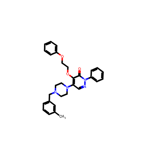 Cc1cccc(CN2CCN(c3cnn(-c4ccccc4)c(=O)c3OCCOc3ccccc3)CC2)c1